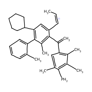 C=C(c1cc(C)c(P)c(C)c1C)c1c(/C=C\C)cc(C2CCCCC2)c(-c2ccccc2C)c1C